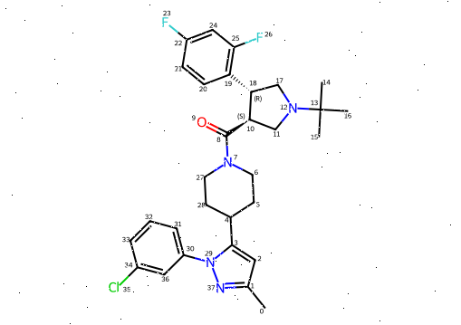 Cc1cc(C2CCN(C(=O)[C@@H]3CN(C(C)(C)C)C[C@H]3c3ccc(F)cc3F)CC2)n(-c2cccc(Cl)c2)n1